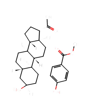 CC(=O)[C@H]1CC[C@H]2[C@@H]3CC[C@H]4C[C@](C)(O)CC[C@]4(C)[C@H]3CC[C@]12C.COC(=O)c1ccc(O)cc1